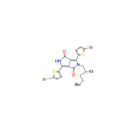 CCC(C)CCC(CC)CN1C(=O)C2=C(c3ccc(Br)s3)NC(=O)C2=C1c1ccc(Br)s1